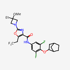 CCC1(OC)CN(c2nc(C(=O)Nc3cc(F)c(OC4CC5CCC4C5)c(F)c3)c(CC(F)(F)F)o2)C1